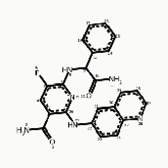 NC(=O)c1cc(F)c(NC(C(N)=O)c2ccccc2)nc1Nc1ccc2ncccc2c1